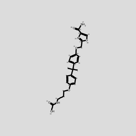 CC(C)(c1ccc(OCCCNC(=O)O)cc1)c1ccc(OCc2nc(C(N)=O)co2)cc1